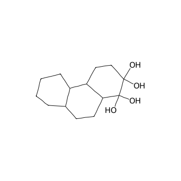 OC1(O)CCC2C3CCCCC3CCC2C1(O)O